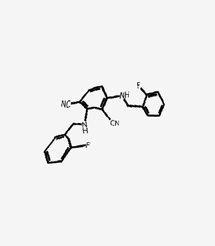 N#Cc1ccc(NCc2ccccc2F)c(C#N)c1NCc1ccccc1F